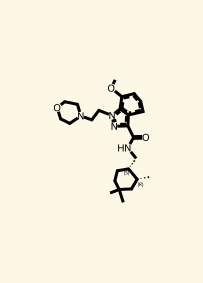 COc1cccc2c(C(=O)NC[C@H]3CCC(C)(C)C[C@H]3C)nn(CCN3CCOCC3)c12